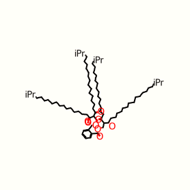 CC(C)CCCCCCCCCCCCCCC(=O)C(COC(=O)c1ccccc1C(=O)OCC(C(=O)CCCCCCCCCCCCCCC(C)C)C(=O)CCCCCCCCCCCCCCC(C)C)C(=O)CCCCCCCCCCCCCCC(C)C